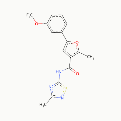 Cc1nsc(NC(=O)c2cc(-c3cccc(OC(F)(F)F)c3)oc2C)n1